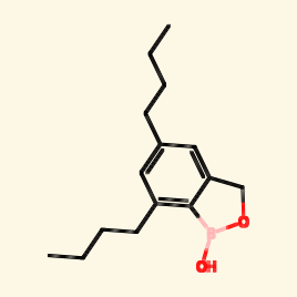 CCCCc1cc(CCCC)c2c(c1)COB2O